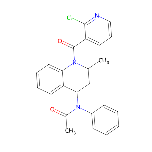 CC(=O)N(c1ccccc1)C1CC(C)N(C(=O)c2cccnc2Cl)c2ccccc21